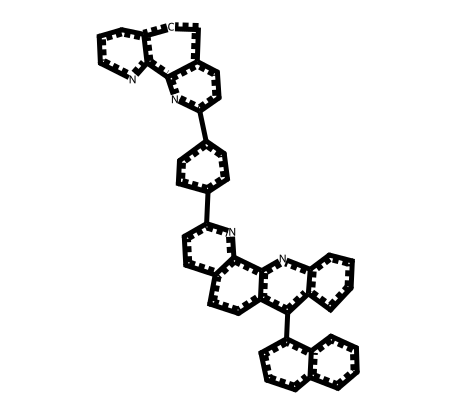 c1ccc2c(-c3c4ccccc4nc4c3ccc3ccc(-c5ccc(-c6ccc7ccc8cccnc8c7n6)cc5)nc34)cccc2c1